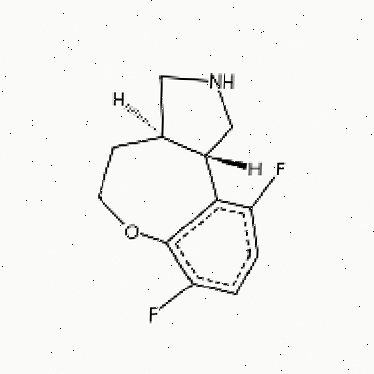 Fc1ccc(F)c2c1OCC[C@H]1CNC[C@H]21